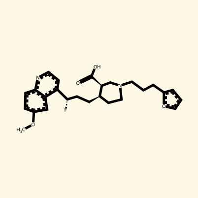 COc1ccc2nccc([C@@H](F)CC[C@@H]3CCN(CCCc4ccco4)C[C@@H]3C(=O)O)c2c1